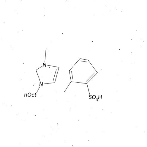 CCCCCCCCN1C=CN(C)C1.Cc1ccccc1S(=O)(=O)O